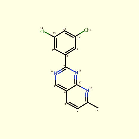 Cc1ccc2cnc(-c3cc(Cl)cc(Cl)c3)nc2n1